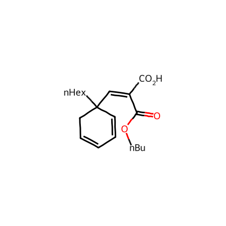 CCCCCCC1(C=C(C(=O)O)C(=O)OCCCC)C=CC=CC1